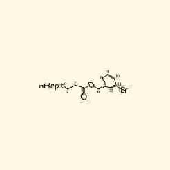 CCCCCCCCCC(=O)OCc1cccc(Br)c1